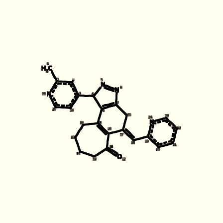 Cc1cc(C2N=NC3=C2C2=C(C(=O)CCCC2)C(=Cc2ccccn2)C3)ccn1